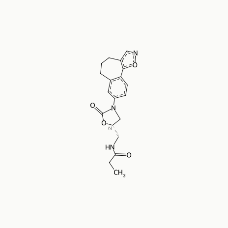 CCC(=O)NC[C@H]1CN(c2ccc3c(c2)CCCc2cnoc2-3)C(=O)O1